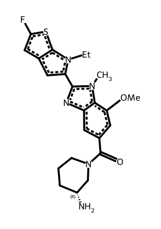 CCn1c(-c2nc3cc(C(=O)N4CCC[C@@H](N)C4)cc(OC)c3n2C)cc2cc(F)sc21